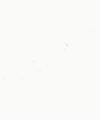 CCCCCC=NOCCCCCCOc1c(Cl)cc(OCC=C(Cl)Cl)cc1Cl